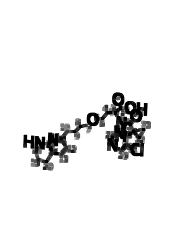 O=C(O)[C@H](CCOCCCCc1ccc2c(n1)NCCC2)NC(=O)C1(c2ncncc2Cl)CC1